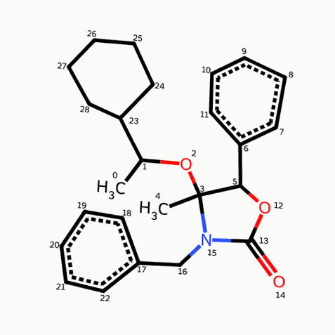 CC(OC1(C)C(c2ccccc2)OC(=O)N1Cc1ccccc1)C1CCCCC1